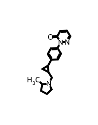 CC1CCCN1CC1CC1c1ccc(-n2ncccc2=O)cc1